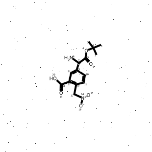 CC(C)(C)OC(=O)C(N)c1ccc(C[N+](=O)[O-])c(C(=O)O)c1